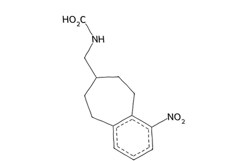 O=C(O)NCC1CCc2cccc([N+](=O)[O-])c2CC1